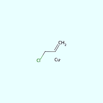 C=CCCl.[Cu]